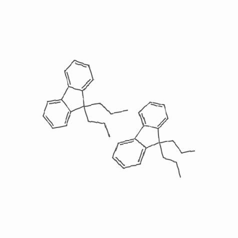 CCCC1(CCC)c2ccccc2-c2ccccc21.CCCC1(CCC)c2ccccc2-c2ccccc21